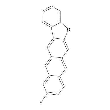 Fc1ccc2cc3cc4oc5ccccc5c4cc3cc2c1